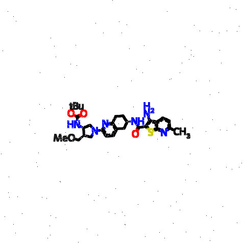 COC[C@@H]1CN(c2ccc3c(n2)CC[C@H](NC(=O)c2sc4nc(C)ccc4c2N)C3)C[C@@H]1NC(=O)OC(C)(C)C